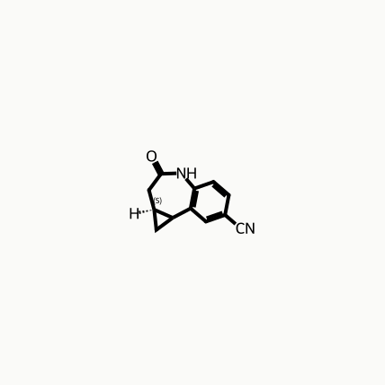 N#Cc1ccc2c(c1)C1C[C@H]1CC(=O)N2